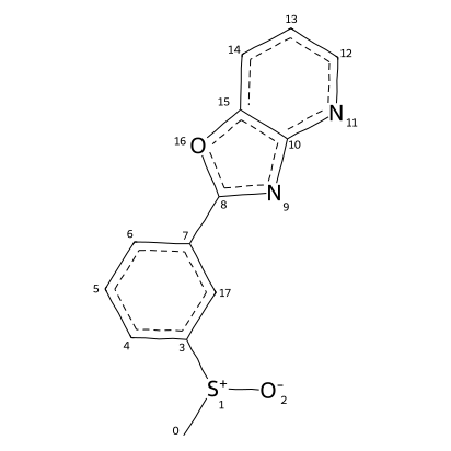 C[S+]([O-])c1cccc(-c2nc3ncccc3o2)c1